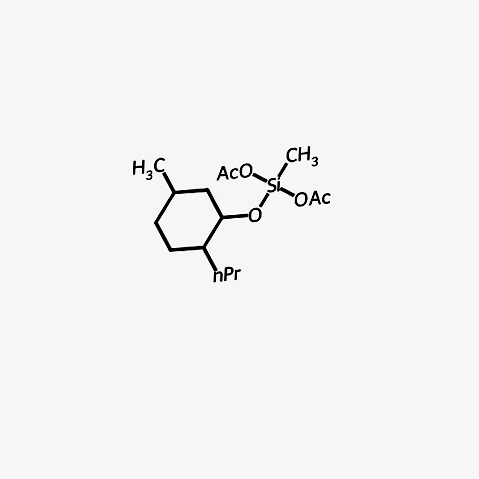 CCCC1CCC(C)CC1O[Si](C)(OC(C)=O)OC(C)=O